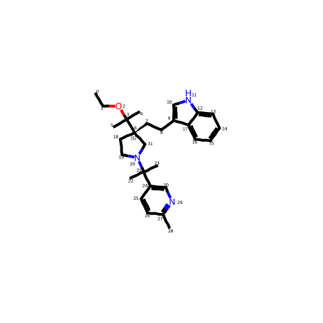 CCOC(C)(C)[C@@]1(CCc2c[nH]c3ccccc23)CCN(C(C)(C)c2ccc(C)nc2)C1